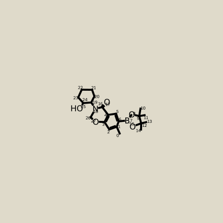 Cc1cc2c(cc1B1OC(C)(C)C(C)(C)O1)C(=O)N(C1CCCCC1O)CO2